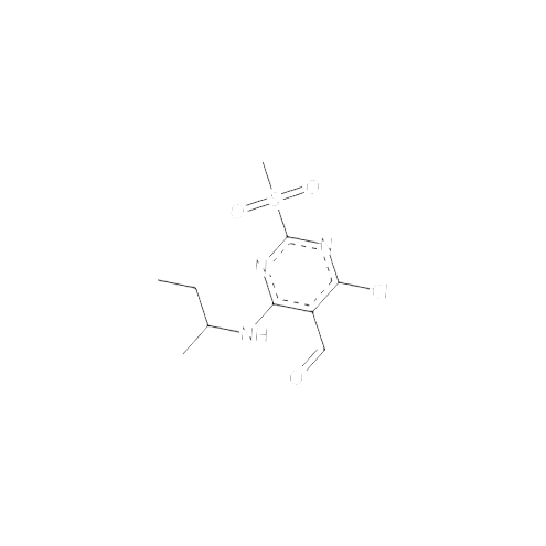 CCC(C)Nc1nc(S(C)(=O)=O)nc(Cl)c1C=O